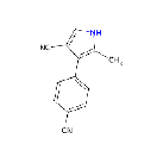 Cc1[nH]cc(C#N)c1-c1ccc(C#N)cc1